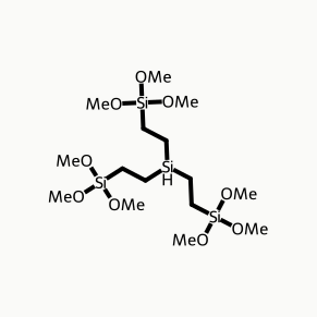 CO[Si](CC[SiH](CC[Si](OC)(OC)OC)CC[Si](OC)(OC)OC)(OC)OC